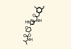 Cc1cc(F)cc(CC(=O)Nc2cc([C@@H]3C[C@H](OC(=O)NC(C)C)CO3)[nH]n2)c1